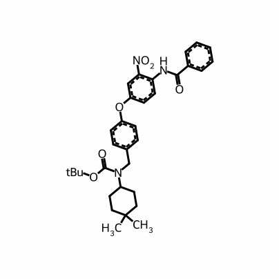 CC1(C)CCC(N(Cc2ccc(Oc3ccc(NC(=O)c4ccccc4)c([N+](=O)[O-])c3)cc2)C(=O)OC(C)(C)C)CC1